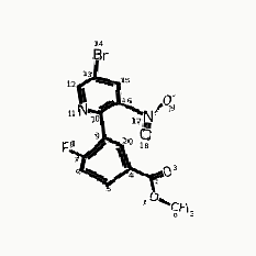 COC(=O)c1ccc(F)c(-c2ncc(Br)cc2[N+](=O)[O-])c1